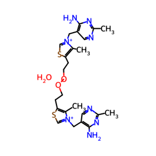 Cc1ncc(C[n+]2csc(CCOOCCc3sc[n+](Cc4cnc(C)nc4N)c3C)c2C)c(N)n1.O